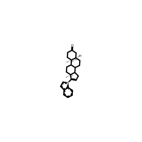 C[C@]12CCC3C(CC[C@@H]4CC(=O)CC[C@]34C)C1CC=C2n1ccc2ccccc21